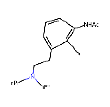 CCCN(CCC)CCc1cccc(NC(C)=O)c1C